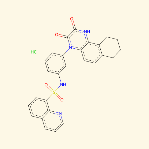 Cl.O=c1[nH]c2c3c(ccc2n(-c2cccc(NS(=O)(=O)c4cccc5cccnc45)c2)c1=O)CCCC3